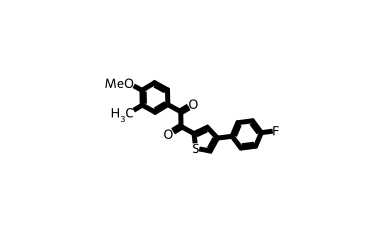 COc1ccc(C(=O)C(=O)c2cc(-c3ccc(F)cc3)cs2)cc1C